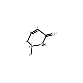 CN1CC=[C]C(=O)N1